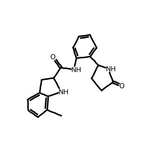 Cc1cccc2c1NC(C(=O)Nc1ccccc1C1CCC(=O)N1)C2